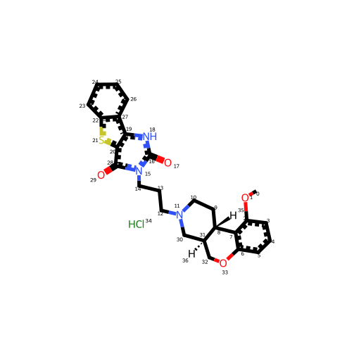 COc1cccc2c1[C@H]1CCN(CCCn3c(=O)[nH]c4c(sc5ccccc54)c3=O)C[C@@H]1CO2.Cl